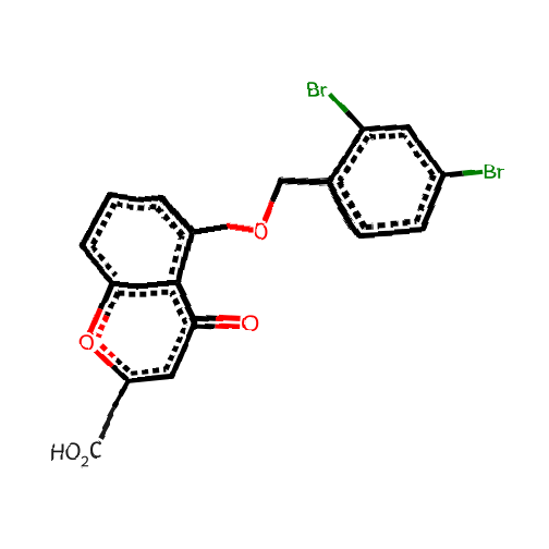 O=C(O)c1cc(=O)c2c(OCc3ccc(Br)cc3Br)cccc2o1